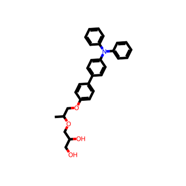 CC(COc1ccc(-c2ccc(N(c3ccccc3)c3ccccc3)cc2)cc1)OCC(O)CO